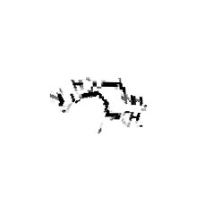 C=CCC.C=CN